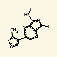 Cc1nocc1-c1ccc2c(I)nn(PI)c2n1